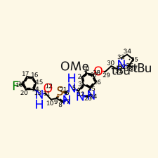 COc1cc2c(Nc3ncc(CC(=O)Nc4cccc(F)c4)s3)ncnc2cc1OCCCN1CC[CH]C1(C(C)(C)C)C(C)(C)C